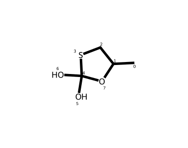 CC1CSC(O)(O)O1